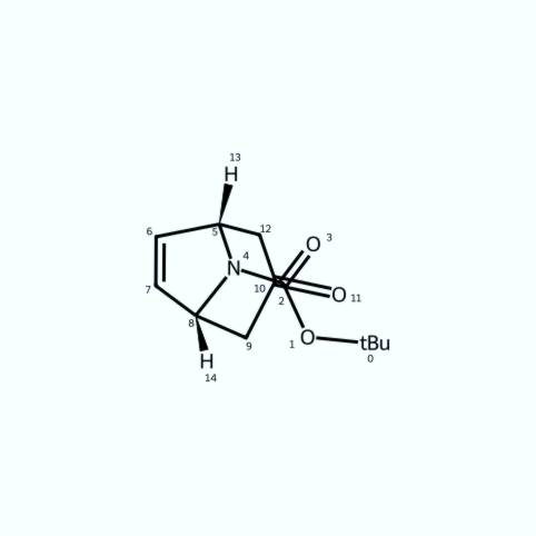 CC(C)(C)OC(=O)N1[C@@H]2C=C[C@H]1CC(=O)C2